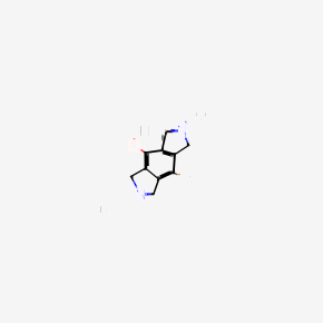 CCCCCCCCN1Cc2c(Br)c3c(c(OCCCCCCC)c2C1)CN(CCCCCCCC)C3